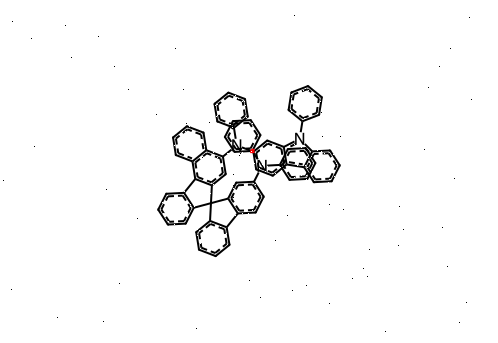 c1ccc(N(c2ccccc2)c2ccc3c(c2)C2(c4ccccc4-3)c3ccccc3-c3c2cc(N(c2ccccc2)c2ccc4c5ccccc5n(-c5ccccc5)c4c2)c2ccccc32)cc1